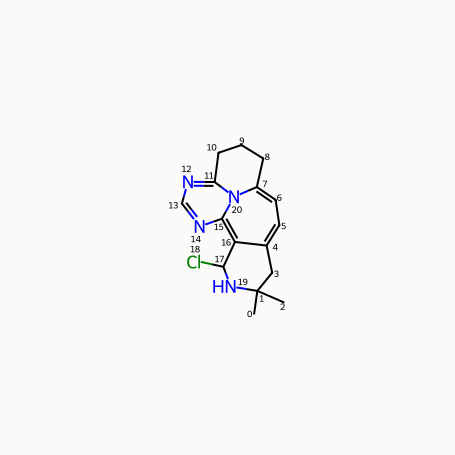 CC1(C)CC2=CC=C3CCCC4=NC=NC(=C2C(Cl)N1)N34